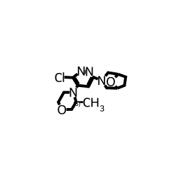 C[C@H]1COCCN1c1cc(N2CC3CCC(C2)O3)nnc1Cl